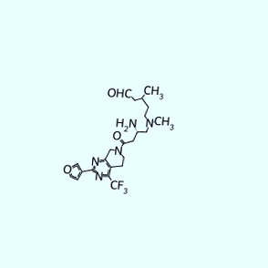 CC(CC=O)CCN(C)C[C@@H](N)CC(=O)N1CCc2c(nc(-c3ccoc3)nc2C(F)(F)F)C1